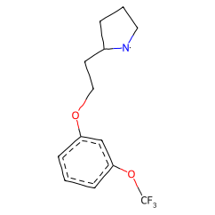 FC(F)(F)Oc1cccc(OCCC2CCC[N]2)c1